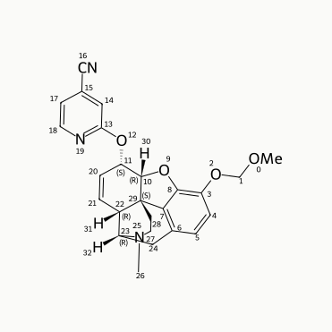 COCOc1ccc2c3c1O[C@H]1[C@@H](Oc4cc(C#N)ccn4)C=C[C@H]4[C@@H](C2)N(C)CC[C@@]341